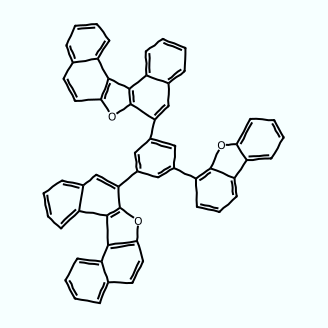 c1ccc2c(c1)ccc1oc3c(-c4cc(-c5cccc6c5oc5ccccc56)cc(-c5cc6ccccc6c6c5oc5ccc7ccccc7c56)c4)cc4ccccc4c3c12